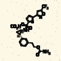 NC(=O)OCCc1cccc([C@@H]2C[C@]2(NS(=O)(=O)c2ccc(-c3cc(C(F)(F)F)on3)s2)C(=O)O)c1